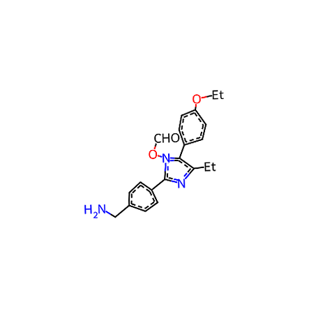 CCOc1ccc(-c2c(CC)nc(-c3ccc(CN)cc3)n2OC=O)cc1